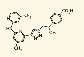 Cc1cc(Nc2cc(C(F)(F)F)ccn2)nc(-c2cn(CC(O)c3ccc(C(=O)O)cc3)nn2)c1